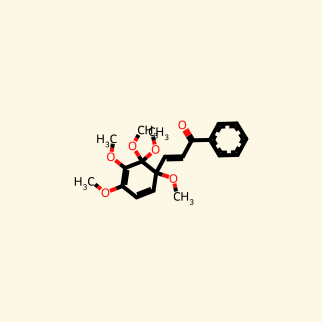 COC1=C(OC)C(OC)(OC)C(C=CC(=O)c2ccccc2)(OC)C=C1